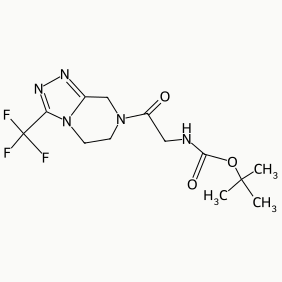 CC(C)(C)OC(=O)NCC(=O)N1CCn2c(nnc2C(F)(F)F)C1